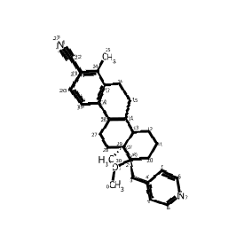 CO[C@@]1(Cc2ccncc2)CCCC2C3CCc4c(ccc(C#N)c4C)C3CC[C@@]21C